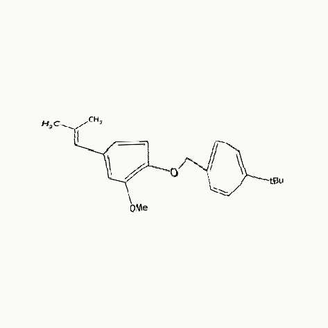 COc1cc(C=C(C)C)ccc1OCc1ccc(C(C)(C)C)cc1